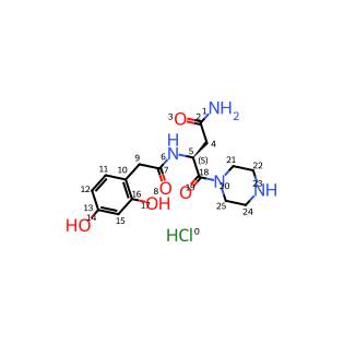 Cl.NC(=O)C[C@H](NC(=O)Cc1ccc(O)cc1O)C(=O)N1CCNCC1